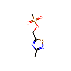 Cc1nsc(COS(C)(=O)=O)n1